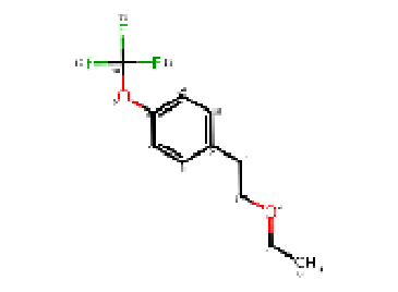 C[CH]OCCc1ccc(OC(F)(F)F)cc1